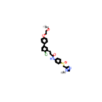 CCCCOCCOc1ccc(-c2ccc(Cl)c(/C=C/C(=O)Nc3ccc([S@@+]([O-])Cc4cncn4CCC)cc3)c2)cc1